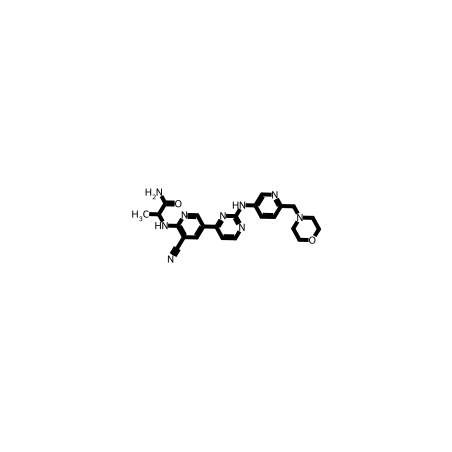 CC(Nc1ncc(-c2ccnc(Nc3ccc(CN4CCOCC4)nc3)n2)cc1C#N)C(N)=O